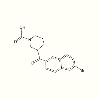 O=C(c1ccc2cc(Br)ccc2c1)C1CCCN(C(=O)O)C1